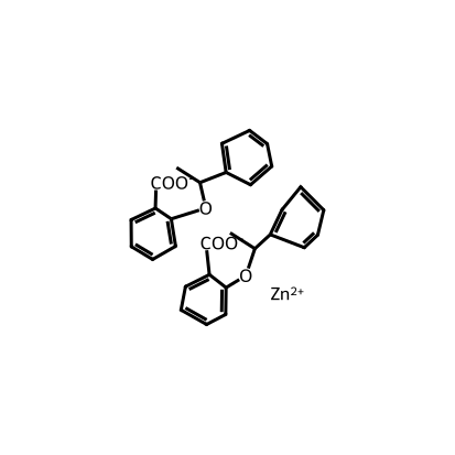 CC(Oc1ccccc1C(=O)[O-])c1ccccc1.CC(Oc1ccccc1C(=O)[O-])c1ccccc1.[Zn+2]